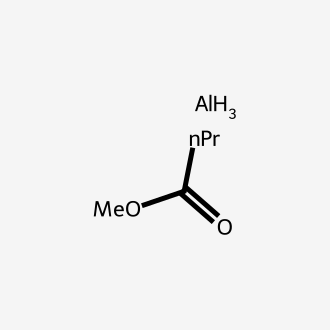 CCCC(=O)OC.[AlH3]